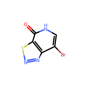 O=c1[nH]cc(Br)c2nnsc12